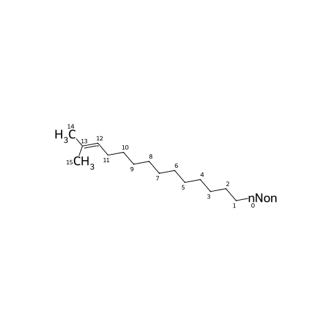 CCCCCCCCCCCCCCCCCCCC[C]=C(C)C